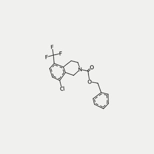 O=C(OCc1ccccc1)N1CCc2c(C(F)(F)F)ccc(Cl)c2C1